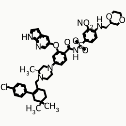 C[C@@H]1CN(c2ccc(C(=O)NS(=O)(=O)c3ccc(NC[C@@H]4COCCO4)c([N+](=O)[O-])c3)c(Oc3cnc4[nH]ccc4c3)c2)CCN1CC1=C(c2ccc(Cl)cc2)CC(C)(C)CC1